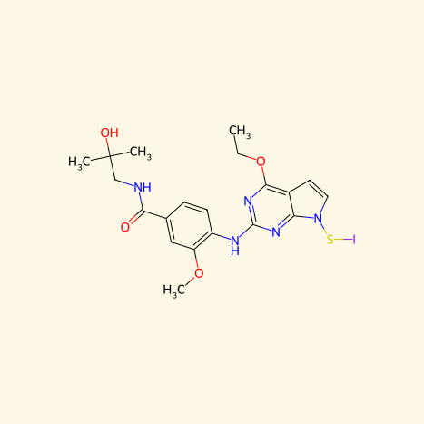 CCOc1nc(Nc2ccc(C(=O)NCC(C)(C)O)cc2OC)nc2c1ccn2SI